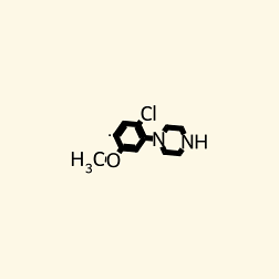 COc1[c]cc(Cl)c(N2CCNCC2)c1